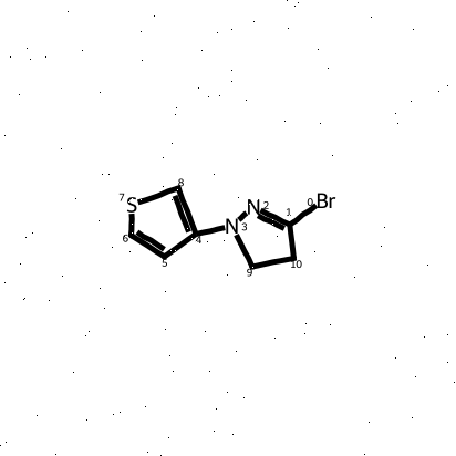 BrC1=NN(c2ccsc2)CC1